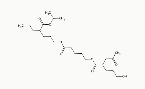 C=CCC(CCCOC(=O)CCCCOC(=O)C(CCCO)CC(C)=O)C(=O)OC(C)C